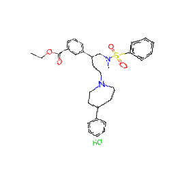 CCOC(=O)c1cccc(C(CCN2CCC(c3ccccc3)CC2)CN(C)S(=O)(=O)c2ccccc2)c1.Cl